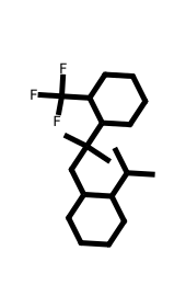 CC(C)C1CCCCC1CC(C)(C)C1CCCCC1C(F)(F)F